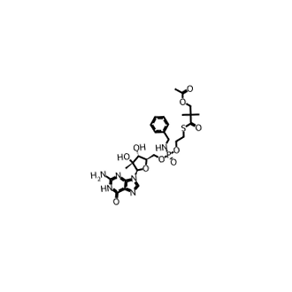 CC(=O)OCC(C)(C)C(=O)SCCOP(=O)(NCc1ccccc1)OC[C@H]1O[C@@H](n2cnc3c(=O)[nH]c(N)nc32)[C@](C)(O)[C@@H]1O